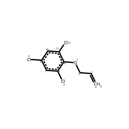 C=CCOc1c(Cl)cc(Cl)cc1Cl